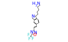 NCCCCCC1N=Cc2cc(C=Cc3noc(C(F)(F)F)n3)ccc21